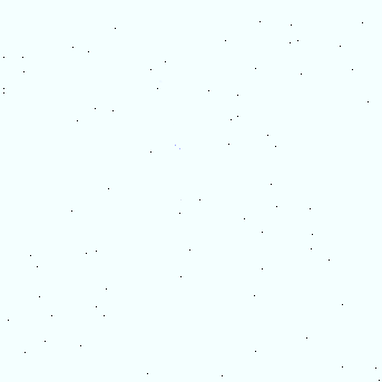 CC(C)(C)OC(=O)N1CC[C](c2ccc(F)c(Cl)c2)CC1